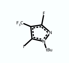 CC(C)(C)n1nc(F)c(C(F)(F)F)c1I